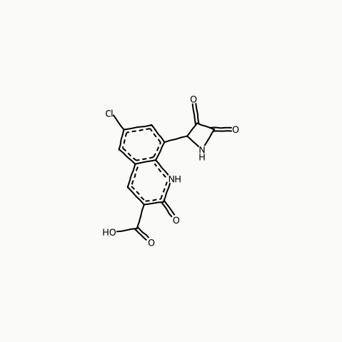 O=C1NC(c2cc(Cl)cc3cc(C(=O)O)c(=O)[nH]c23)C1=O